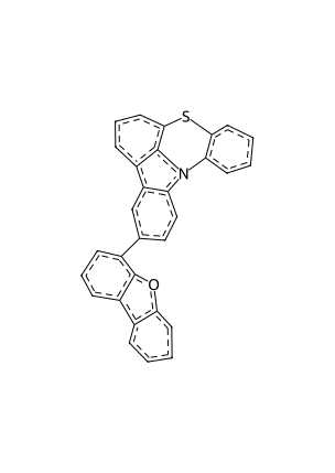 c1ccc2c(c1)Sc1cccc3c4cc(-c5cccc6c5oc5ccccc56)ccc4n-2c13